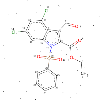 CCOC(=O)c1c(C=O)c2c(Cl)cc(Cl)cc2n1S(=O)(=O)c1ccccc1